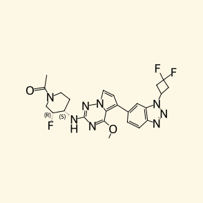 COc1nc(N[C@H]2CCN(C(C)=O)C[C@H]2F)nn2ccc(-c3ccc4nnn(C5CC(F)(F)C5)c4c3)c12